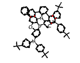 CC(C)(C)c1ccc(N(c2ccc(C(C)(C)C)cc2)c2ccc3c(c2)Oc2cc(-c4ccccc4)cc4c2B3c2ccc(N(c3ccc(C(C)(C)C)cc3)c3ccc(C(C)(C)C)cc3)cc2N4c2c(-c3ccccc3)cccc2-c2ccccc2)cc1